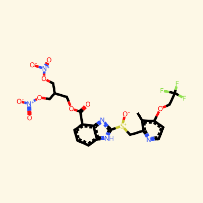 Cc1c(OCC(F)(F)F)ccnc1C[S+]([O-])c1nc2c(C(=O)OCC(CO[N+](=O)[O-])CO[N+](=O)[O-])cccc2[nH]1